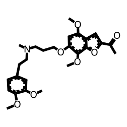 COc1ccc(CCN(C)CCCOc2cc(OC)c3cc(C(C)=O)oc3c2OC)cc1OC